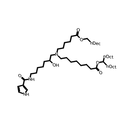 CCCCCCCCCCCOC(=O)CCCCCN(CCCCCCCC(=O)OC(CCCCCCCC)CCCCCCCC)CC(O)CCCCCNC(=O)c1cc[nH]c1